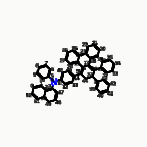 C1=CC2=C(N(c3ccccc3)c3ccc(C4=c5c(c6ccccc6c6ccccc56)=C(c5ccccc5)C(c5ccccc5)C4)cc3)C=CCC2C=C1